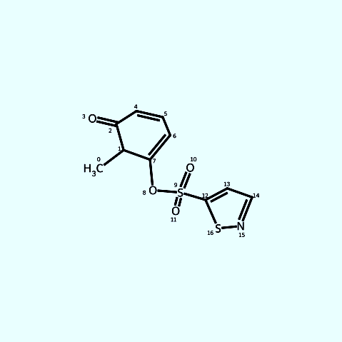 CC1C(=O)C=CC=C1OS(=O)(=O)c1ccns1